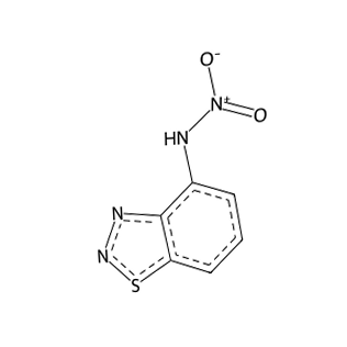 O=[N+]([O-])Nc1cccc2snnc12